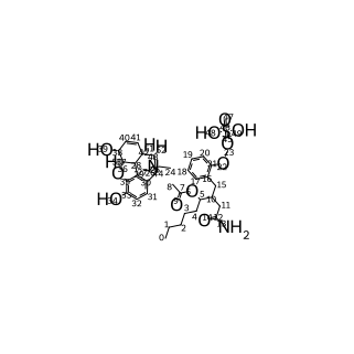 CCCCCC(OC(C)=O)C(CC(N)=O)Cc1ccccc1OC.CN1CC[C@]23c4c5ccc(O)c4O[C@H]2[C@@H](O)C=C[C@H]3[C@H]1C5.O=S(=O)(O)O